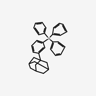 c1ccc([Si](c2ccccc2)(c2ccccc2)c2cccc(C34CC5CC(CC(C5)C3)C4)c2)cc1